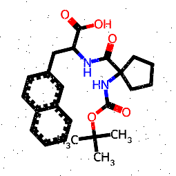 CC(C)(C)OC(=O)NC1(C(=O)NC(Cc2ccc3ccccc3c2)C(=O)O)CCCC1